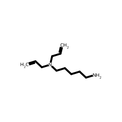 C=CCN(CC=C)CCCCCN